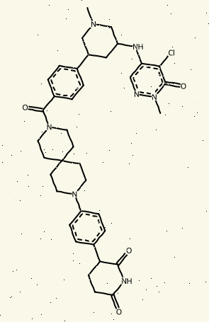 CN1CC(Nc2cnn(C)c(=O)c2Cl)CC(c2ccc(C(=O)N3CCC4(CC3)CCN(c3ccc(C5CCC(=O)NC5=O)cc3)CC4)cc2)C1